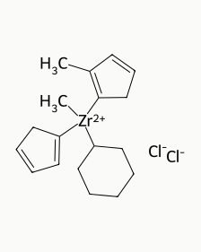 CC1=[C]([Zr+2]([CH3])([C]2=CC=CC2)[CH]2CCCCC2)CC=C1.[Cl-].[Cl-]